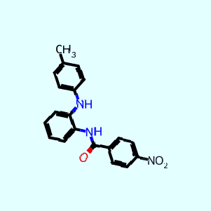 Cc1ccc(Nc2ccccc2NC(=O)c2ccc([N+](=O)[O-])cc2)cc1